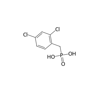 O=P(O)(O)Cc1ccc(Cl)cc1Cl